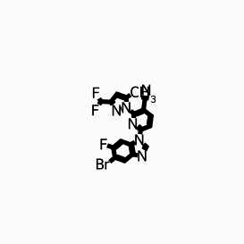 Cc1cc(C(F)F)nn1-c1nc(-n2cnc3cc(Br)c(F)cc32)ccc1C#N